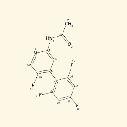 CC(=O)Nc1cc(-c2c(F)cc(F)cc2F)c(F)cn1